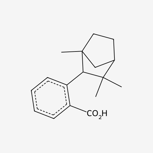 CC12CCC(C1)C(C)(C)C2c1ccccc1C(=O)O